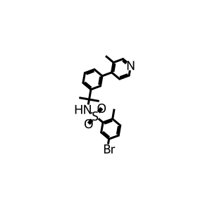 Cc1cnccc1-c1cccc(C(C)(C)NS(=O)(=O)c2cc(Br)ccc2C)c1